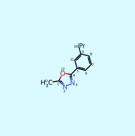 Cc1nnc(-c2cccc(C(C)C)c2)o1